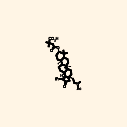 CC(=O)N(C)CC[C@@]12CC[C@]3(C)[C@H](CCC4[C@@]5(C)CC[C@H](OC(=O)CC(C)(C)C(=O)O)C(C)(C)C5CC[C@]43C)C1=C(C(C)C)C(=O)C2